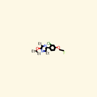 CCc1nc(-c2ccc(OCCF)cc2Cl)c(CC)nc1OC(CC)CC